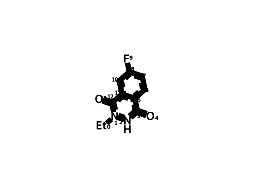 CCn1[nH]c(=O)c2ccc(F)cc2c1=O